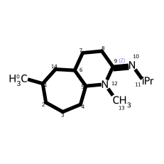 CC1CCCC2C(CC/C(=N/C(C)C)N2C)C1